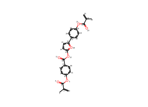 C=C(C)C(=O)Oc1ccc(C(=O)Oc2ccc(-c3ccc(OC(=O)C(=C)C)cc3)o2)cc1